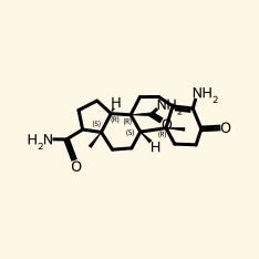 C[C@]12CCC(=O)C(N)=C1CC[C@]1(C(N)=O)[C@H]2CC[C@]2(C)C(C(N)=O)CC[C@@H]12